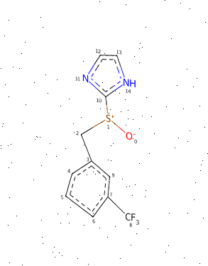 [O-][S+](Cc1cccc(C(F)(F)F)c1)c1ncc[nH]1